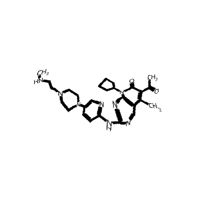 CNCCN1CCN(c2ccc(Nc3ncc4c(C)c(C(C)=O)c(=O)n(C5CCCC5)c4n3)nc2)CC1